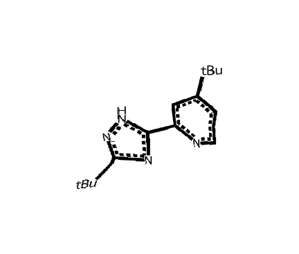 CC(C)(C)c1ccnc(-c2nc(C(C)(C)C)n[nH]2)c1